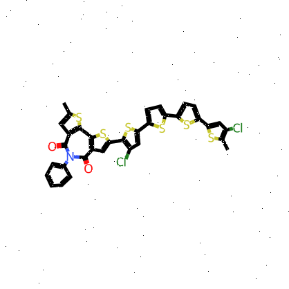 Cc1cc2c(=O)n(-c3ccccc3)c(=O)c3cc(-c4sc(-c5ccc(-c6ccc(-c7cc(Cl)c(C)s7)s6)s5)cc4Cl)sc3c2s1